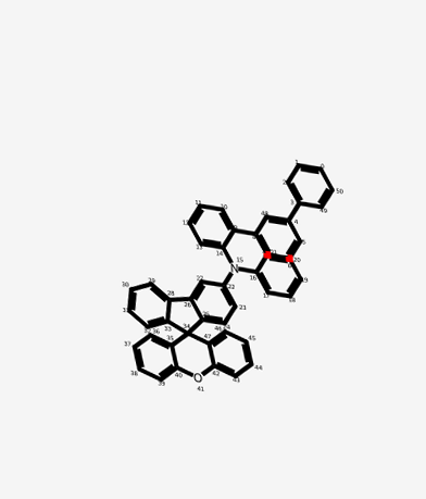 c1ccc(-c2cccc(-c3ccccc3N(c3ccccc3)c3ccc4c(c3)-c3ccccc3C43c4ccccc4Oc4ccccc43)c2)cc1